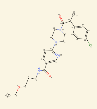 CCOCCCNC(=O)c1ccc(N2CCN(C(=O)C(C)c3ccc(Cl)cc3)CC2)nc1